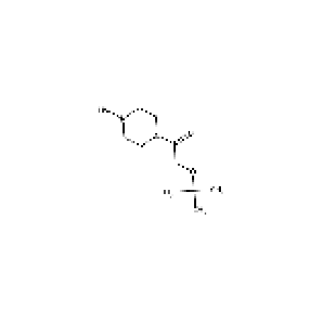 CC(C)(C)OCC(=O)N1CCN(S)CC1